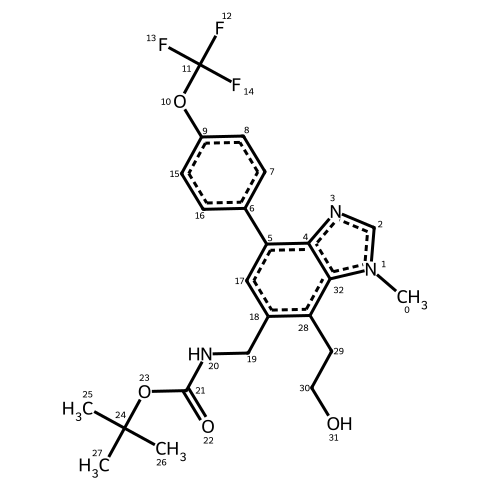 Cn1cnc2c(-c3ccc(OC(F)(F)F)cc3)cc(CNC(=O)OC(C)(C)C)c(CCO)c21